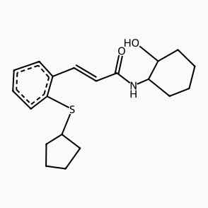 O=C(C=Cc1ccccc1SC1CCCC1)NC1CCCCC1O